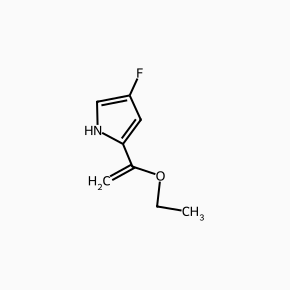 C=C(OCC)c1cc(F)c[nH]1